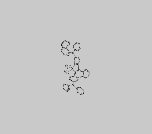 CC1(C)c2cc(N(c3ccccc3)c3cccc4ccccc34)ccc2-c2c1c1ccc(N(c3ccccc3)c3ccccc3)cc1c1ccccc21